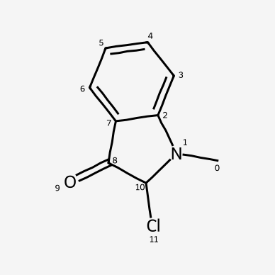 CN1c2ccccc2C(=O)C1Cl